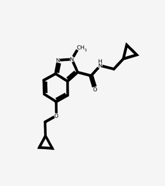 Cn1nc2ccc(OCC3CC3)cc2c1C(=O)NCC1CC1